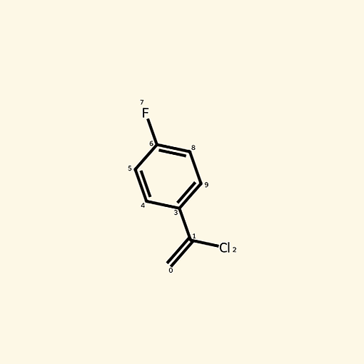 C=C(Cl)c1ccc(F)cc1